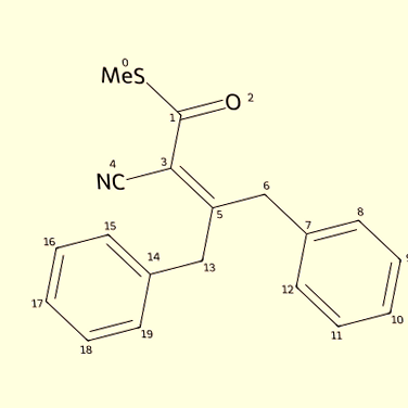 CSC(=O)C(C#N)=C(Cc1ccccc1)Cc1ccccc1